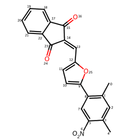 Cc1cc(C)c([N+](=O)[O-])cc1-c1ccc(C=C2C(=O)c3ccccc3C2=O)o1